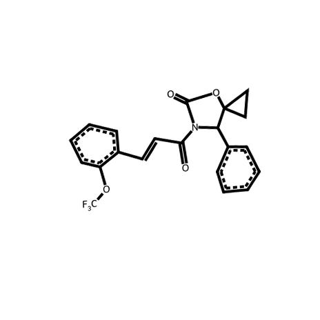 O=C(C=Cc1ccccc1OC(F)(F)F)N1C(=O)OC2(CC2)C1c1ccccc1